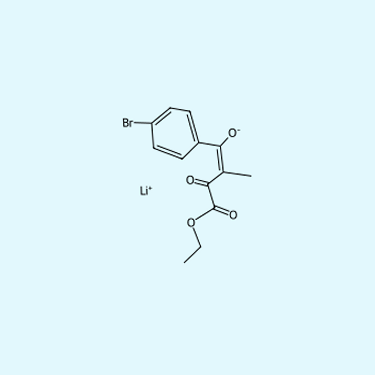 CCOC(=O)C(=O)C(C)=C([O-])c1ccc(Br)cc1.[Li+]